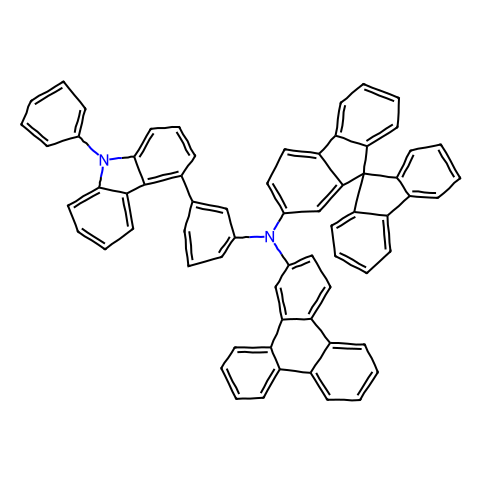 c1ccc(-n2c3ccccc3c3c(-c4cccc(N(c5ccc6c(c5)C5(c7ccccc7-c7ccccc75)c5ccccc5-6)c5ccc6c7ccccc7c7ccccc7c6c5)c4)cccc32)cc1